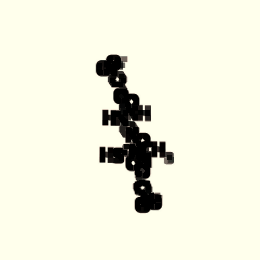 CC(=NC(=O)OCc1ccc([N+](=O)[O-])cc1)N1C[C@@H](S)C[C@H]1C(=O)N1CCC(NC(=N)CC(=O)OCc2ccc([N+](=O)[O-])cc2)CC1